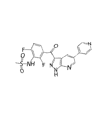 CS(=O)(=O)Nc1c(F)ccc(C(=O)c2n[nH]c3ncc(-c4ccncc4)cc23)c1F